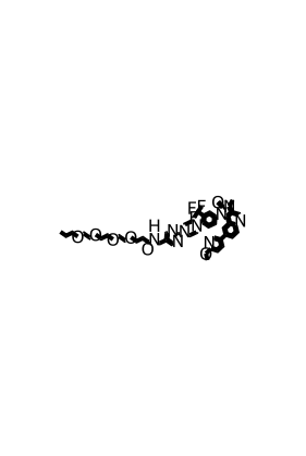 CCCOCCOCCOCCOCCC(=O)NCc1cnc(N2CCN(c3ccc(-n4c(=O)n(C)c5cnc6ccc(-c7ccc(OC)nc7)cc6c54)cc3C(F)(F)F)CC2)nc1